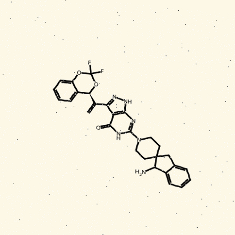 C=C(c1n[nH]c2nc(N3CCC4(CC3)Cc3ccccc3C4N)[nH]c(=O)c12)[C@@H]1OC(F)(F)Oc2ccccc21